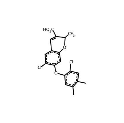 Cc1cc(Cl)c(Oc2cc3c(cc2Cl)C=C(C(=O)O)C(C(F)(F)F)O3)cc1C